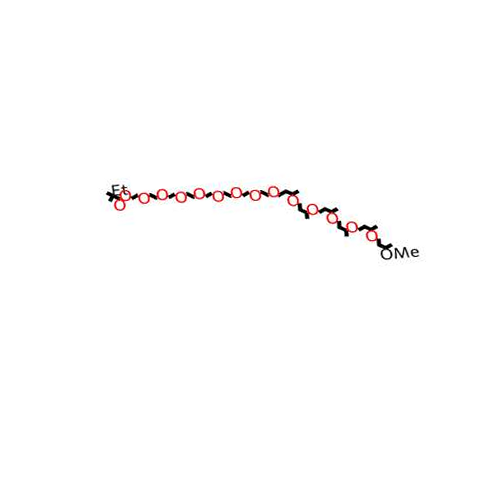 CCC(C)(C)C(=O)OCCOCCOCCOCCOCCOCCOCCOCCOCCC(C)OCCC(C)OCCC(C)OCCC(C)OCCC(C)OCCC(C)OC